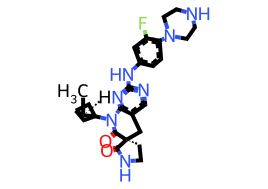 C[C@@H]1C2CC1(N1C(=O)[C@@]3(CCNC3=O)Cc3cnc(Nc4ccc(N5CCNCC5)c(F)c4)nc31)C2